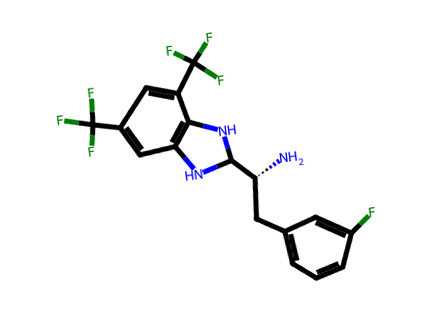 N[C@H](Cc1cccc(F)c1)C1Nc2cc(C(F)(F)F)cc(C(F)(F)F)c2N1